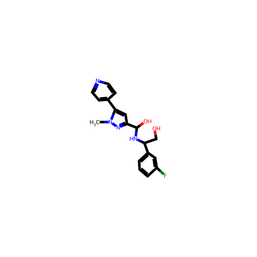 Cn1nc(C(O)NC(CO)c2cccc(F)c2)cc1-c1ccncc1